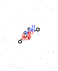 CC(=O)O[C@H](C(=O)OCc1ccccc1)C(=O)[C@@H]1CCCN1C(=O)[C@@H]1CCCN1C(=O)NCc1ccccc1